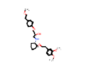 COCCc1ccc(OC[C@@H](O)CN[C@H]2CCCC[C@H]2OCCc2ccc(OC)c(OC)c2)cc1